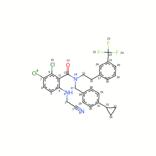 N#CCNc1ccc(Cl)c(Cl)c1C(=O)N(CCc1cccc(C(F)(F)F)c1)Cc1ccc(C2CC2)cc1